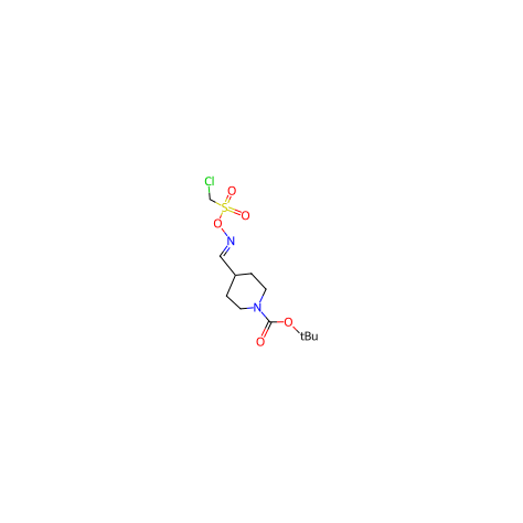 CC(C)(C)OC(=O)N1CCC(C=NOS(=O)(=O)CCl)CC1